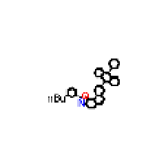 CCCCc1cccc(-c2nc3ccc4ccc5cc(-c6c7ccccc7c(-c7ccccc7)c7ccccc67)ccc5c4c3o2)c1